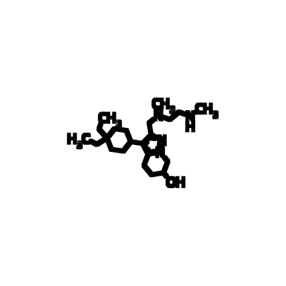 CCC1(CC)CCC(c2c(CN(C)CCNC)nn3c2CCC(O)C3)CC1